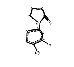 Cc1ccc(N2CCCC2=O)cc1F